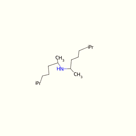 CC(C)CCCC(C)NC(C)CCCC(C)C